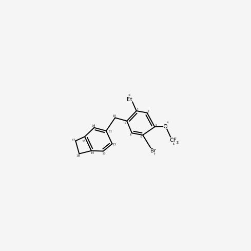 CCc1cc(OC(F)(F)F)c(Br)cc1Cc1ccc2c(c1)CC2